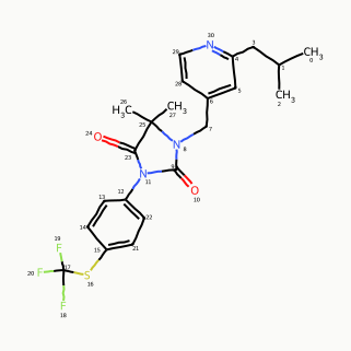 CC(C)Cc1cc(CN2C(=O)N(c3ccc(SC(F)(F)F)cc3)C(=O)C2(C)C)ccn1